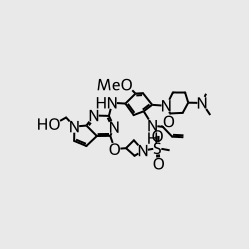 C=CC(=O)Nc1cc(Nc2nc(OC3CN(S(C)(=O)=O)C3)c3ccn(CO)c3n2)c(OC)cc1N1CCC(N(C)C)CC1